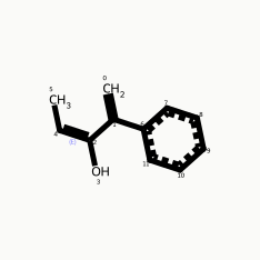 C=C(/C(O)=C\C)c1ccccc1